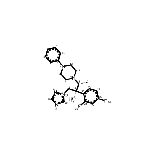 C[C@@H](N1CCN(c2ccccc2)CC1)[C@](O)(Cn1cncn1)c1ccc(F)cc1F